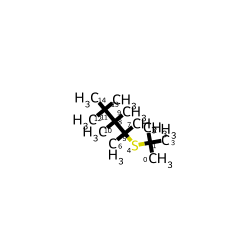 CC(C)(C)SC(C)(C)C(C)(C)C(C)(C)C